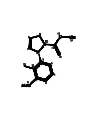 COc1cccc([C@@H]2C=CCN2C(=O)OC(C)(C)C)c1C